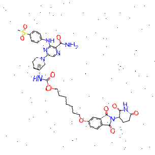 CS(=O)(=O)c1ccc(Nc2nc(N3CCC[C@@H](NC(=O)OCCCCCCCOc4ccc5c(c4)C(=O)N(C4CCC(=O)NC4=O)C5=O)C3)cnc2C(N)=O)cc1